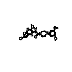 COc1cc(OC)cc(N2CCN(C(=O)Nc3nc4cc(Cl)oc4nc3OC)CC2)c1